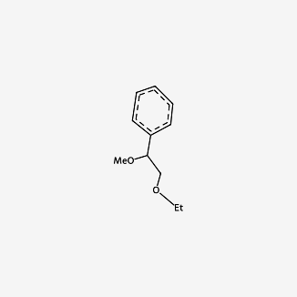 CCOCC(OC)c1ccccc1